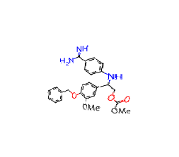 COC(=O)OCC(Nc1ccc(C(=N)N)cc1)c1ccc(OCc2ccccc2)c(OC)c1